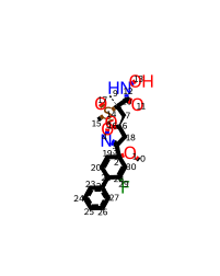 COC1(C2=NO[C@@H](C[C@](C)(C(=O)NO)S(C)(=O)=O)C2)C=CC(c2ccccc2)C(F)=C1